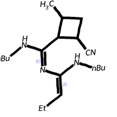 CC/C=C(\N=C(\NCCCC)C1C(C)CC1C#N)NCCCC